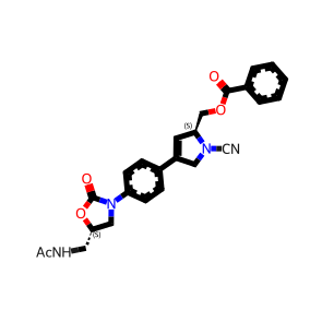 CC(=O)NC[C@H]1CN(c2ccc(C3=C[C@@H](COC(=O)c4ccccc4)N(C#N)C3)cc2)C(=O)O1